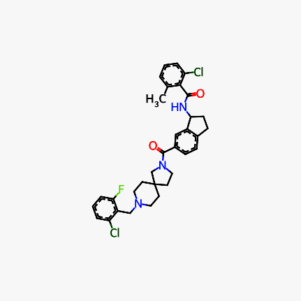 Cc1cccc(Cl)c1C(=O)NC1CCc2ccc(C(=O)N3CCC4(CCN(Cc5c(F)cccc5Cl)CC4)C3)cc21